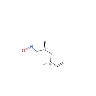 C=C[C@H](C)C[C@H](C)CN=O